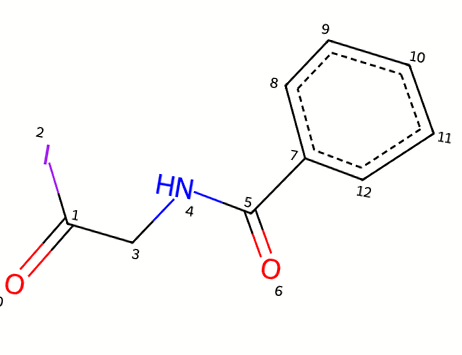 O=C(I)CNC(=O)c1ccccc1